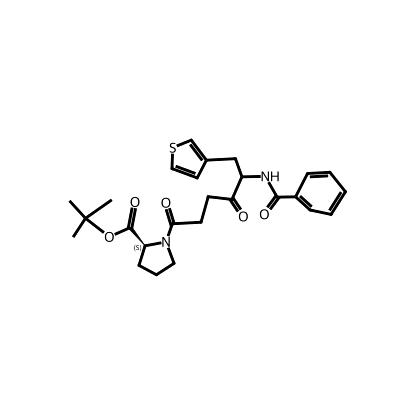 CC(C)(C)OC(=O)[C@@H]1CCCN1C(=O)CCC(=O)C(Cc1ccsc1)NC(=O)c1ccccc1